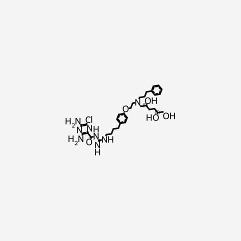 N=C(NCCCCc1ccc(OCCN(CCCc2ccccc2)C[C@H](O)CC[C@H](O)CO)cc1)NC(=O)c1nc(Cl)c(N)nc1N